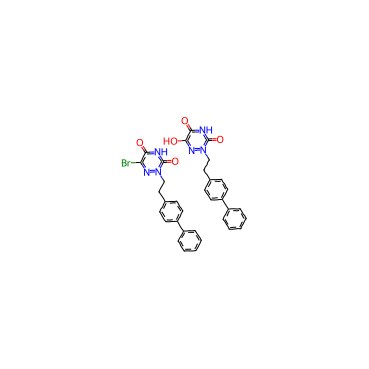 O=c1[nH]c(=O)n(CCc2ccc(-c3ccccc3)cc2)nc1Br.O=c1[nH]c(=O)n(CCc2ccc(-c3ccccc3)cc2)nc1O